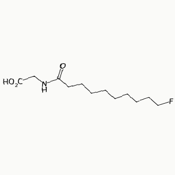 O=C(O)CNC(=O)CCCCCCCCCF